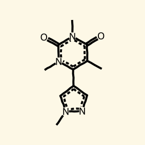 Cc1c(-c2cnn(C)c2)n(C)c(=O)n(C)c1=O